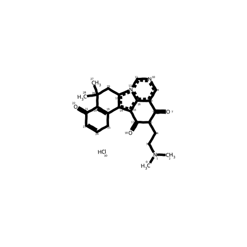 CN(C)CCC1C(=O)c2cncn3c4c(c(c23)C1=O)C1=C(C(=O)C=CC1)C(C)(C)C4.Cl